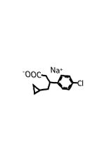 O=C([O-])CC(CC1CC1)c1ccc(Cl)cc1.[Na+]